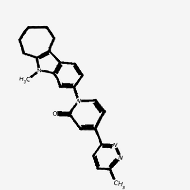 Cc1ccc(-c2ccn(-c3ccc4c5c(n(C)c4c3)CCCCC5)c(=O)c2)nn1